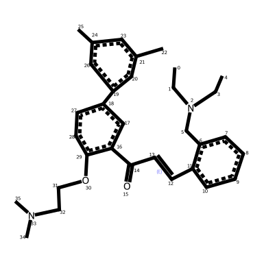 CCN(CC)Cc1ccccc1/C=C/C(=O)c1cc(-c2cc(C)cc(C)c2)ccc1OCCN(C)C